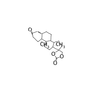 C[C@]12CCC(=O)C=C1CCC1C2=CC[C@@]2(C)C1CCC21COC(=O)O1